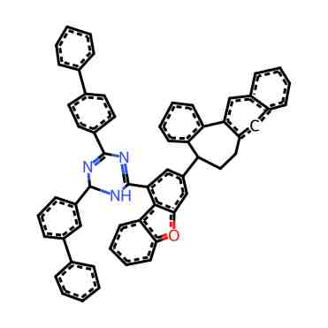 c1ccc(-c2ccc(C3=NC(c4cccc(-c5ccccc5)c4)NC(c4cc(C5CCc6cc7ccccc7cc6-c6ccccc65)cc5oc6ccccc6c45)=N3)cc2)cc1